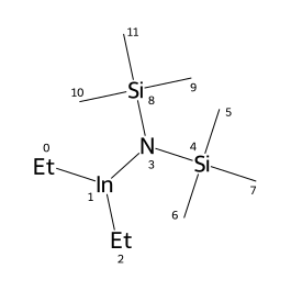 C[CH2][In]([CH2]C)[N]([Si](C)(C)C)[Si](C)(C)C